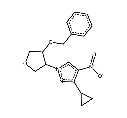 O=[N+]([O-])c1cn(C2COCC2OCc2ccccc2)nc1C1CC1